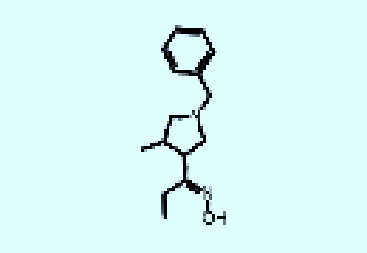 CCC(=NO)C1CN(Cc2ccccc2)CC1C